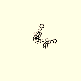 CC(C)C[C@@H](CN1CC(=O)C(NC(=O)[C@H](CC(C)C)NC(=O)OCc2ccccn2)C1)NC(=O)OCc1ccccc1